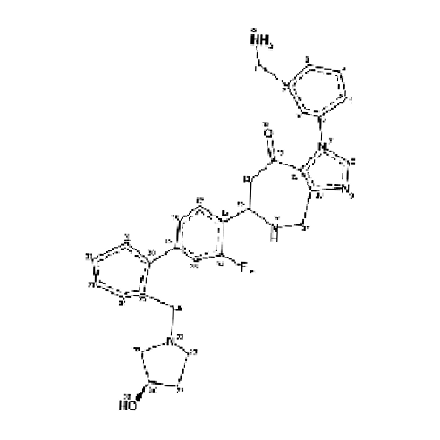 NCc1cccc(-n2cnc3c2C(=O)CC(c2ccc(-c4ccccc4CN4CC[C@@H](O)C4)cc2F)NC3)c1